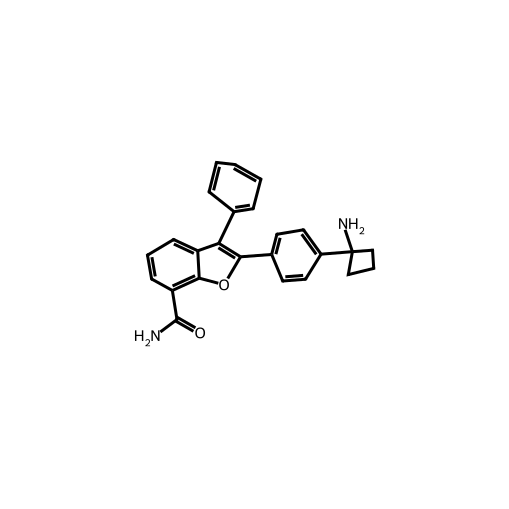 NC(=O)c1cccc2c(-c3ccccc3)c(-c3ccc(C4(N)CCC4)cc3)oc12